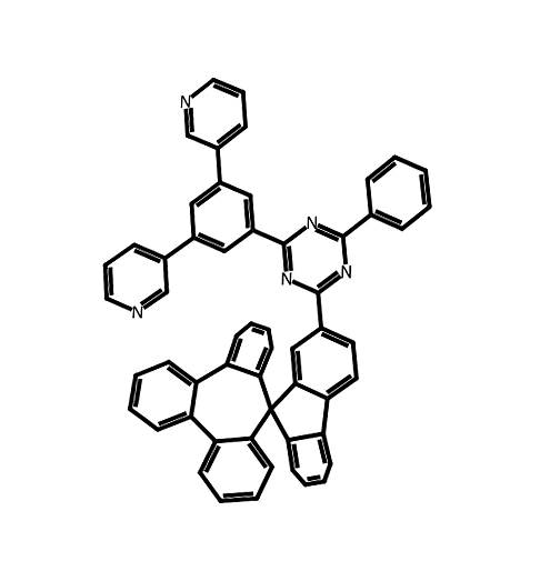 c1ccc(-c2nc(-c3cc(-c4cccnc4)cc(-c4cccnc4)c3)nc(-c3ccc4c(c3)C3(c5ccccc5-c5ccccc5-c5ccccc53)c3ccccc3-4)n2)cc1